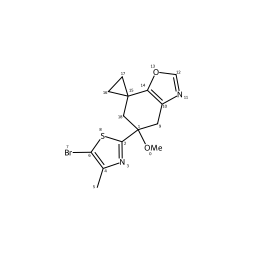 COC1(c2nc(C)c(Br)s2)Cc2ncoc2C2(CC2)C1